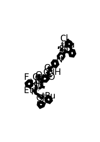 CCN(CCO[Si](c1ccccc1)(c1ccccc1)C(C)(C)C)[C@@H](CC(C)Nc1ccc(S(=O)(=O)NC(=O)c2ccc(N3CCC(C(O[Si](C)(C)C(C)(C)C)c4ccccc4-c4ccc(Cl)cc4)CC3)cc2)cc1S(=O)(=O)C(F)(F)F)Sc1ccccc1